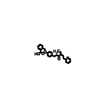 CCN(CCc1ccccn1)C(=O)CCc1ccc(OCc2ccccc2C(=O)O)cc1